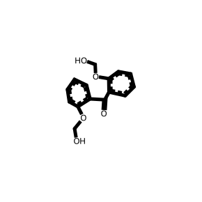 O=C(c1ccccc1OCO)c1ccccc1OCO